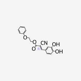 N#C/C(=C\c1ccc(O)c(O)c1)C(=O)OCCOc1ccccc1